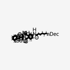 CCCCCCCCCCCCCCCC(=O)Nc1ccc2c(c1)C(=O)N(C(C(N)=O)(C(=O)C(C)(C)C)c1nc3ccccc3s1)C2=O